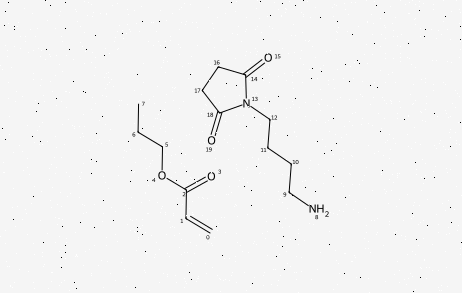 C=CC(=O)OCCC.NCCCCN1C(=O)CCC1=O